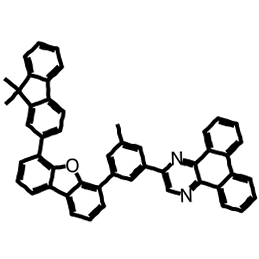 Cc1cc(-c2cnc3c4ccccc4c4ccccc4c3n2)cc(-c2cccc3c2oc2c(-c4ccc5c(c4)C(C)(C)c4ccccc4-5)cccc23)c1